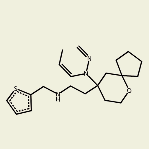 C=NN(/C=C\C)C1(CCNCc2cccs2)CCOC2(CCCC2)C1